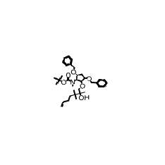 CCCCC(C)(C)C(C)(O)COC1C(OCc2ccccc2)CC(OCc2ccccc2)C1N(C)C(=O)OC(C)(C)C